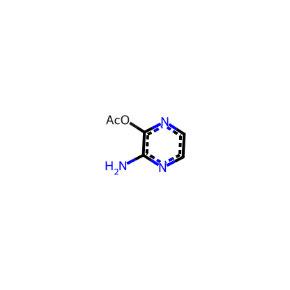 CC(=O)Oc1nccnc1N